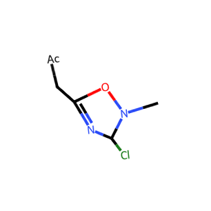 CC(=O)CC1=NC(Cl)N(C)O1